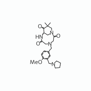 COc1ccc(CN2CC(=O)NC3(C)CN(CC(C)(C)C3=O)C(=O)C2)cc1CN1CCCC1